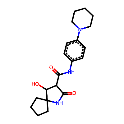 O=C(Nc1ccc(N2CCCCC2)cc1)C1C(=O)NC2(CCCC2)C1O